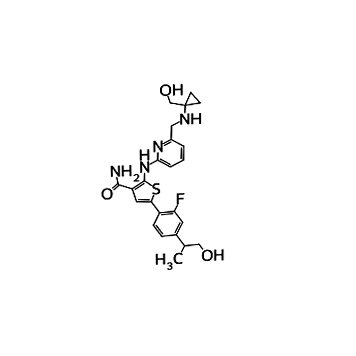 CC(CO)c1ccc(-c2cc(C(N)=O)c(Nc3cccc(CNC4(CO)CC4)n3)s2)c(F)c1